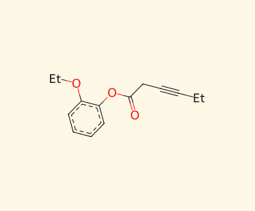 CCC#CCC(=O)Oc1ccccc1OCC